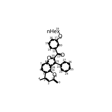 C=C1C=C(C)c2ccc3oc(C(=O)c4cccc(OCCCCCC)c4)c(-c4ccccc4)c3c2O1